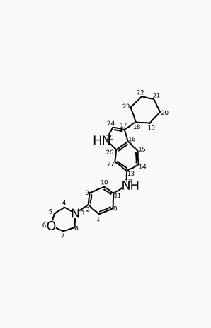 c1cc(N2CCOCC2)ccc1Nc1ccc2c(C3CCCCC3)c[nH]c2c1